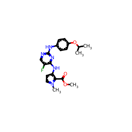 COC(=O)c1c(Nc2nc(Nc3ccc(OC(C)C)cc3)ncc2F)ccn1C